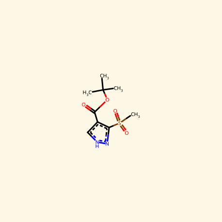 CC(C)(C)OC(=O)c1c[nH]nc1S(C)(=O)=O